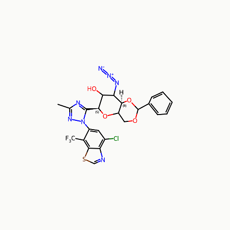 Cc1nc([C@@H]2OC3COC(c4ccccc4)O[C@@H]3C(N=[N+]=[N-])C2O)n(-c2cc(Cl)c3ncsc3c2C(F)(F)F)n1